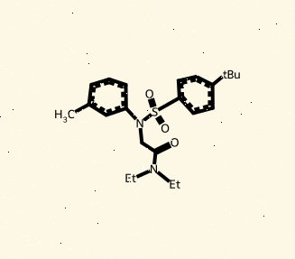 CCN(CC)C(=O)CN(c1cccc(C)c1)S(=O)(=O)c1ccc(C(C)(C)C)cc1